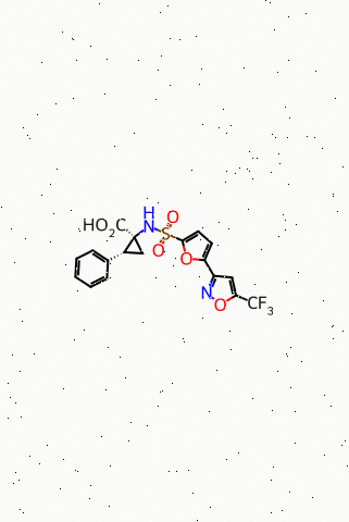 O=C(O)[C@]1(NS(=O)(=O)c2ccc(-c3cc(C(F)(F)F)on3)o2)C[C@@H]1c1ccccc1